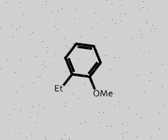 CCc1c[c]ccc1OC